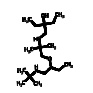 CCC(CNC(C)(C)C)OCC(C)(C)NCC(O)(CC)CC